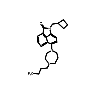 O=C1c2cccc3c(N4CCCN(CCCC(F)(F)F)CC4)ccc(c23)N1CC1CCC1